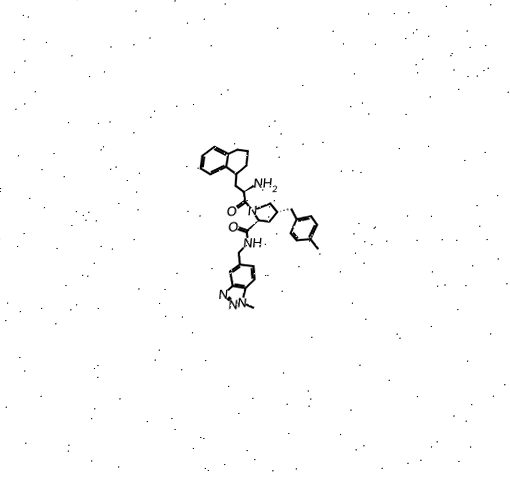 Cc1ccc(C[C@@H]2C[C@@H](C(=O)NCc3ccc4c(c3)nnn4C)N(C(=O)[C@H](N)CC3CCCc4ccccc43)C2)cc1